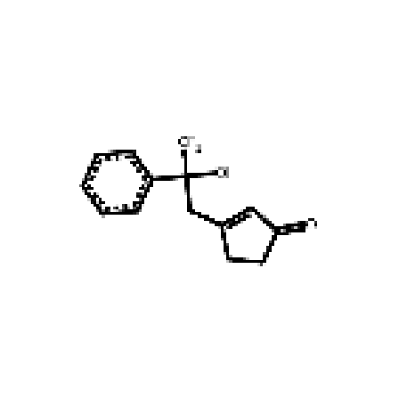 O=C1C=C(C[C@@](O)(c2ccccc2)C(F)(F)F)CC1